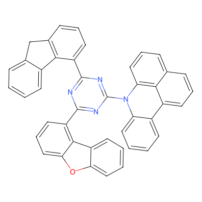 c1ccc2c(c1)Cc1cccc(-c3nc(-c4cccc5oc6ccccc6c45)nc(N4c5ccccc5-c5cccc6cccc4c56)n3)c1-2